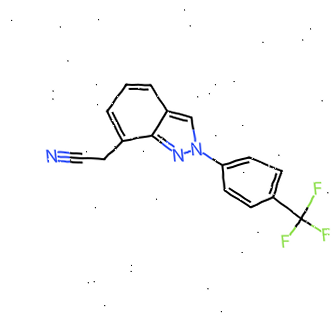 N#CCc1cccc2cn(-c3ccc(C(F)(F)F)cc3)nc12